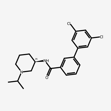 CC(C)N1CCC[C@@H](NC(=O)c2cccc(-c3cc(Cl)cc(Cl)c3)c2)C1